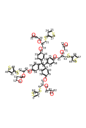 c1cc(SCC(COc2ccc(C(=C(c3ccc(OCC(CSc4ccsc4)OCC4CO4)cc3)c3ccc(OCC(CSc4ccsc4)OC4CCO4)cc3)c3ccc(OCC(CSc4ccsc4)OCC4CO4)cc3)cc2)OCC2CO2)cs1